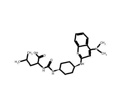 CC(C)CC(NC(=O)N[C@H]1CC[C@@H](Nc2cc(N(C)C)c3ccccc3n2)CC1)C(=O)O